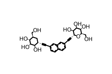 OC[C@H]1C[C@H](C#Cc2ccc3ccc(C#C[C@H]4O[C@H](CO)[C@@H](O)[C@H](O)[C@@H]4O)cc3c2)[C@@H](O)[C@H](O)[C@@H]1O